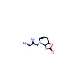 N=CC(=N)CN1C=CCC2OC(=O)N=C21